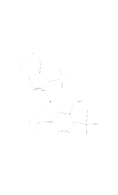 COc1c(C(C)(C)C)cc(C)c([SiH](C)C)c1C(C)(C)C1=Cc2ccccc2C1[Si](C)(C)C